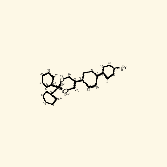 CCCC1CCC(C2CCC(C3COC(C4CCCCC4)(C4CCCCC4)OC3)CC2)CC1